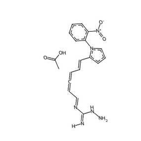 CC(=O)O.[H]/N=C(\N=C\C=C=CC=Cc1cccn1-c1ccccc1[N+](=O)[O-])NN